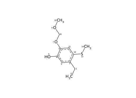 CCc1cc(O)c(OCOC)cc1SC